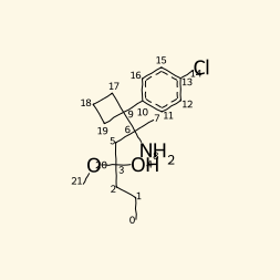 CCCC(O)(CC(C)(N)C1(c2ccc(Cl)cc2)CCC1)OC